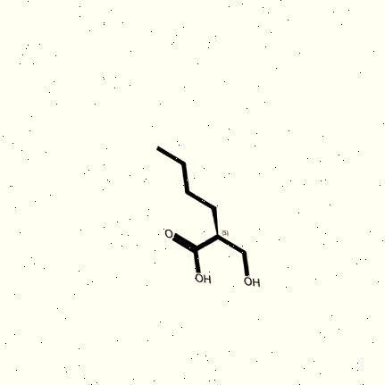 CCCC[C@@H](CO)C(=O)O